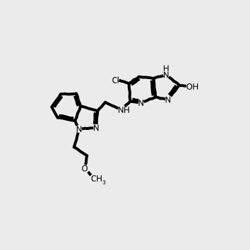 COCCn1nc(CNc2nc3nc(O)[nH]c3cc2Cl)c2ccccc21